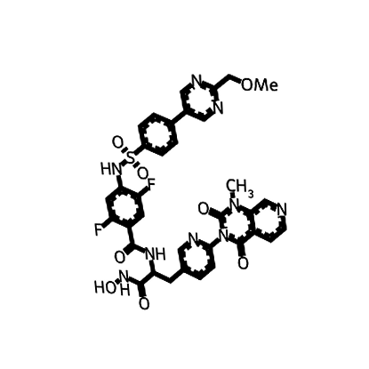 COCc1ncc(-c2ccc(S(=O)(=O)Nc3cc(F)c(C(=O)NC(Cc4ccc(-n5c(=O)c6ccncc6n(C)c5=O)nc4)C(=O)NO)cc3F)cc2)cn1